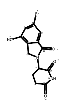 N#Cc1cc(Br)cc2c1CN(C1CCC(=O)NC1=O)C2=O